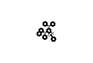 c1ccc(-c2nc3cc(N(c4ccccc4)c4ccccc4)cc(N(c4ccccc4)c4cccc5ccccc45)c3o2)cc1